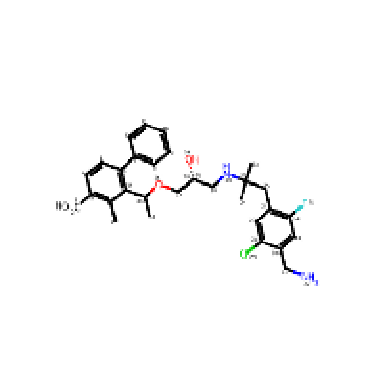 Cc1c(C(=O)O)ccc(-c2ccccc2)c1C(C)OC[C@H](O)CNC(C)(C)Cc1cc(Cl)c(CN)cc1F